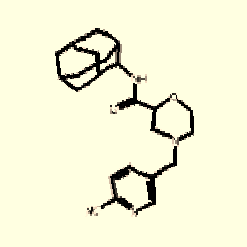 N#Cc1ccc(CN2CCOC(C(=O)NC3C4CC5CC(C4)CC3C5)C2)cn1